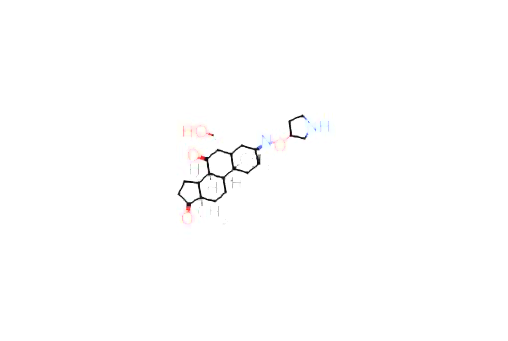 C[C@]12CC/C(=N\O[C@H]3CCNC3)CC1[C@@H](CO)C(=O)[C@@H]1[C@@H]2CC[C@]2(C)C(=O)CC[C@@H]12